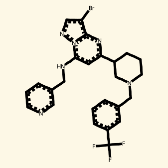 FC(F)(F)c1cccc(CN2CCCC(c3cc(NCc4cccnc4)n4ncc(Br)c4n3)C2)c1